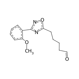 COc1ccccc1-c1noc(CCCCC=O)n1